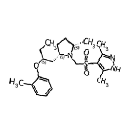 CC[C@@H](C[C@@H]1CC[C@H](C)N1CS(=O)(=O)c1c(C)n[nH]c1C)Oc1ccccc1C